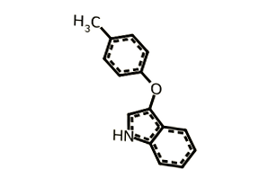 Cc1ccc(Oc2c[nH]c3ccccc23)cc1